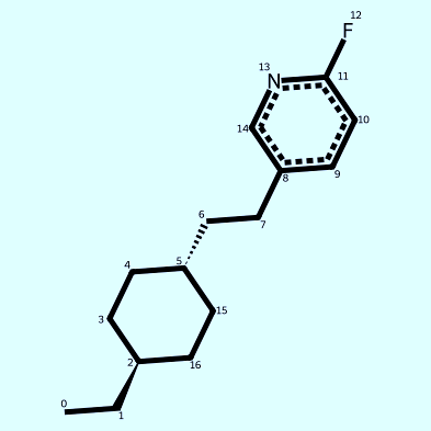 CC[C@H]1CC[C@H](CCc2ccc(F)nc2)CC1